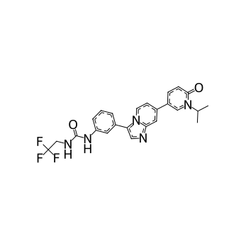 CC(C)n1cc(-c2ccn3c(-c4cccc(NC(=O)NCC(F)(F)F)c4)cnc3c2)ccc1=O